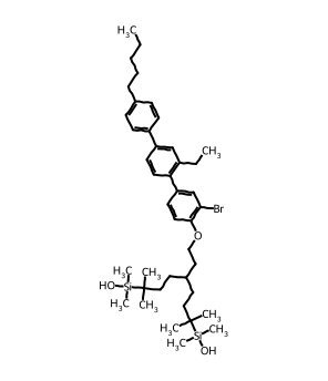 CCCCCc1ccc(-c2ccc(-c3ccc(OCCC(CCC(C)(C)[Si](C)(C)O)CCC(C)(C)[Si](C)(C)O)c(Br)c3)c(CC)c2)cc1